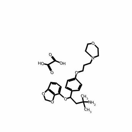 CC(C)(N)CC(Oc1cccc2c1OCO2)c1ccc(OCCCN2CCOCC2)cc1.O=C(O)C(=O)O